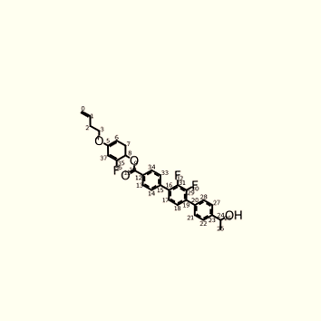 C=CCCOC1=CCC(OC(=O)c2ccc(-c3ccc(-c4ccc(C(C)O)cc4)c(F)c3F)cc2)C(F)=C1